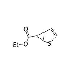 CCOC(=O)C1C2C=CSC21